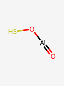 [O]=[Al][O]S